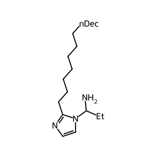 CCCCCCCCCCCCCCCCCc1nccn1C(N)CC